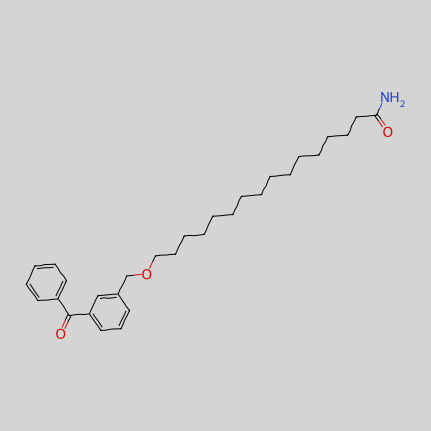 NC(=O)CCCCCCCCCCCCCCCOCc1cccc(C(=O)c2ccccc2)c1